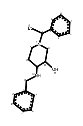 CCC(c1ccccc1)N1CCC(NCc2ccccc2)C(O)C1